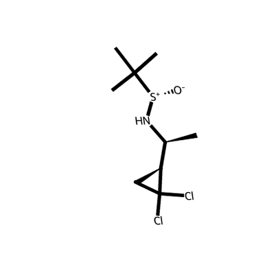 C[C@H](N[S@@+]([O-])C(C)(C)C)[C@@H]1CC1(Cl)Cl